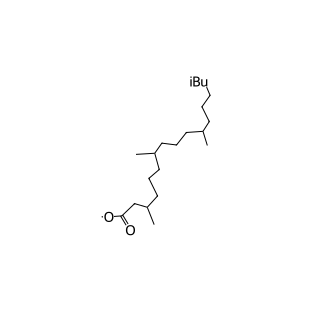 CCC(C)CCCC(C)CCCC(C)CCCC(C)CC([O])=O